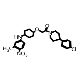 Cc1cc(NC2CCC(OCC(=O)N3CCC(c4ccc(Cl)cc4)CC3)CC2)ccc1[N+](=O)[O-]